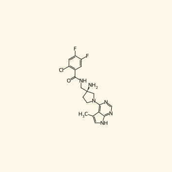 Cc1c[nH]c2ncnc(N3CC[C@](N)(CNC(=O)c4cc(F)c(F)cc4Cl)C3)c12